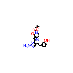 Cn1c(-c2nc(N)ncc2CCc2cccc(O)c2)cc2c1CCN(C(=O)OC(C)(C)C)C2=O